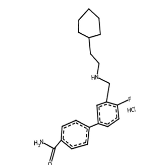 Cl.NC(=O)c1ccc(-c2ccc(F)c(CNCCC3CCCCC3)c2)cc1